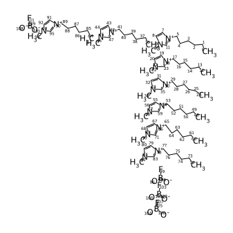 CCCCCC[n+]1ccn(C)c1.CCCCCC[n+]1ccn(C)c1.CCCCCC[n+]1ccn(C)c1.CCCCCC[n+]1ccn(C)c1.CCCCCC[n+]1ccn(C)c1.CCCCCC[n+]1ccn(C)c1.CCCCCC[n+]1ccn(C)c1.CCCCCC[n+]1ccn(C)c1.[O-]B([O-])F.[O-]B([O-])F.[O-]B([O-])F.[O-]B([O-])F